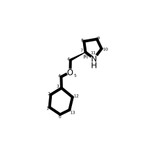 C1CCC(COC[C@H]2CCCN2)CC1